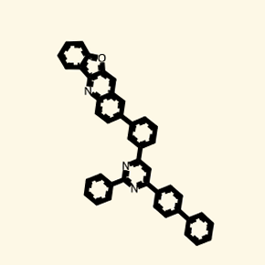 c1ccc(-c2ccc(-c3cc(-c4cccc(-c5ccc6nc7c(cc6c5)oc5ccccc57)c4)nc(-c4ccccc4)n3)cc2)cc1